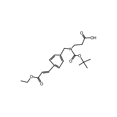 CCOC(=O)/C=C/c1ccc(CN(CCC(=O)O)C(=O)OC(C)(C)C)cc1